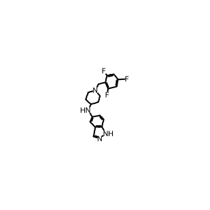 Fc1cc(F)c(CN2CCC(Nc3ccc4[nH]ncc4c3)CC2)c(F)c1